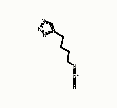 [N-]=[N+]=NCCCCn1cnnn1